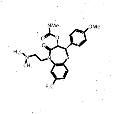 CNC(=O)O[C@@H]1C(=O)N(CCN(C)C)c2cc(C(F)(F)F)ccc2S[C@@H]1c1ccc(OC)cc1